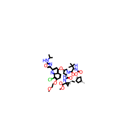 CC[C@@H]1C[C@]1(NC(=O)[C@@H]1C[C@@H](Oc2cc(-c3coc(NC(C)C)n3)nc3c(Cl)c(OCCOC)ccc23)CN1C(=O)[C@@H](NC(=O)O[C@H]1CC[C@@H](C)C1)C(C)(C)C)C(=O)OC